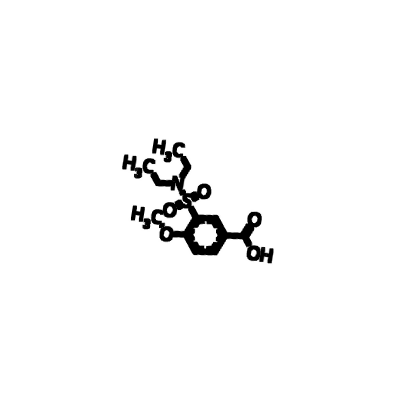 CCN(CC)S(=O)(=O)c1cc(C(=O)O)ccc1OC